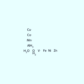 O.O.[AlH3].[Co].[Cu].[Fe].[Mn].[Ni].[V].[Zn]